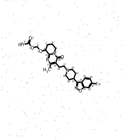 CCCC(=O)OCOC1CCCn2c1nc(C)c(CCN1CCC(c3noc4cc(F)ccc34)CC1)c2=O